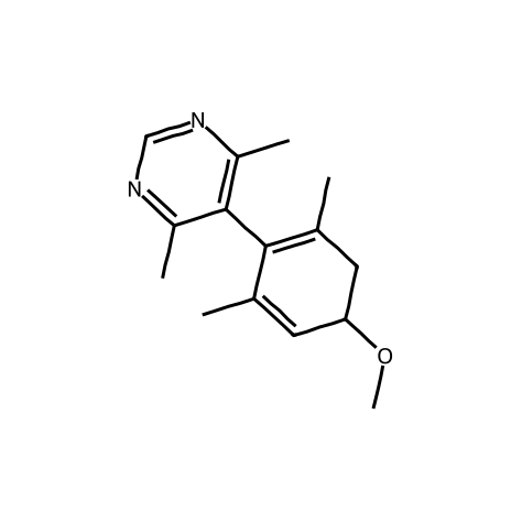 COC1C=C(C)C(c2c(C)ncnc2C)=C(C)C1